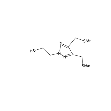 CSCc1nn(CCS)nc1CSC